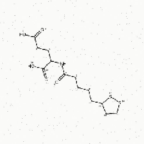 O=C(O)CCC(NC(=O)CCCCC1CCSS1)C(=O)O